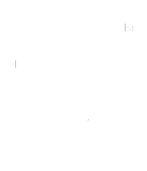 Brc1ccc2cccc(I)c2c1